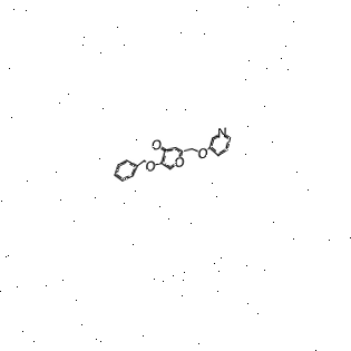 O=c1cc(COc2cccnc2)occ1OCc1ccccc1